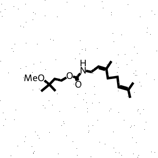 COC(C)(C)CCOC(=O)NC/C=C(/C)CCC=C(C)C